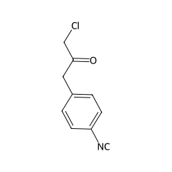 [C-]#[N+]c1ccc(CC(=O)CCl)cc1